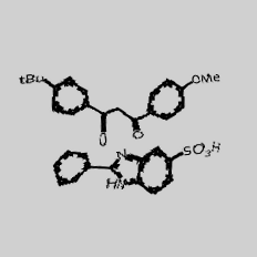 COc1ccc(C(=O)CC(=O)c2ccc(C(C)(C)C)cc2)cc1.O=S(=O)(O)c1ccc2[nH]c(-c3ccccc3)nc2c1